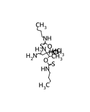 CCCCNC(=S)OC(C)C(N)(CCN)C(C)OC(=S)NCCCC.Cl.Cl